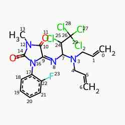 C=CCN(CC=C)C(N=C1C(=O)N(C)C(=O)N1c1ccccc1F)C(Cl)C(Cl)(Cl)Cl